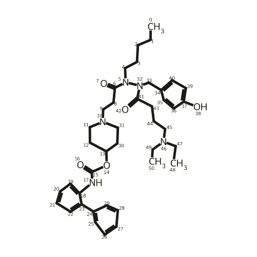 CCCCCN(C(=O)CCN1CCC(OC(=O)Nc2ccccc2-c2ccccc2)CC1)N(Cc1ccc(O)cc1)C(=O)CCCN(CC)CC